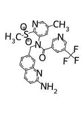 Cc1cnc(S(C)(=O)=O)c(N(Cc2ccc3ccc(N)nc3c2)C(=O)c2cncc(C(F)(F)F)c2)c1